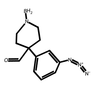 BN1CCC(C=O)(c2cccc(N=[N+]=[N-])c2)CC1